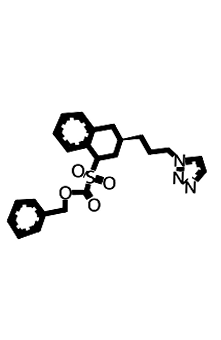 O=C(OCc1ccccc1)S(=O)(=O)C1C[C@H](CCCn2ccnn2)Cc2ccccc21